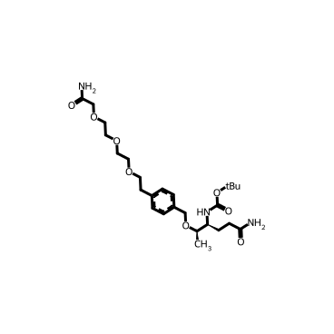 C[C@@H](OCc1ccc(CCOCCOCCOCC(N)=O)cc1)[C@H](CCC(N)=O)NC(=O)OC(C)(C)C